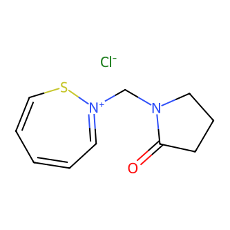 O=C1CCCN1C[N+]1=CC=CC=CS1.[Cl-]